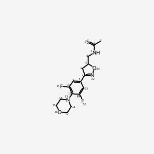 CC(=S)NCC1CC(c2cc(F)c(N3CCOCC3)c(F)c2)=NO1